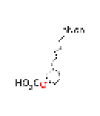 CCCCCCCCCCCCCCCc1cccc(OC(=O)O)c1